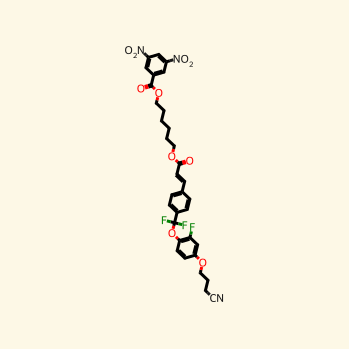 N#CCCCOc1ccc(OC(F)(F)c2ccc(/C=C/C(=O)OCCCCCCOC(=O)c3cc([N+](=O)[O-])cc([N+](=O)[O-])c3)cc2)c(F)c1